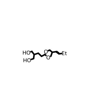 CCC=CC1COC(CCC(CO)CO)OC1